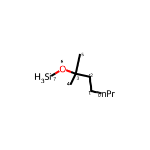 CCCC[CH]C(C)(C)O[SiH3]